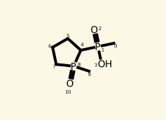 CP(=O)(O)C1CCCP1(C)=O